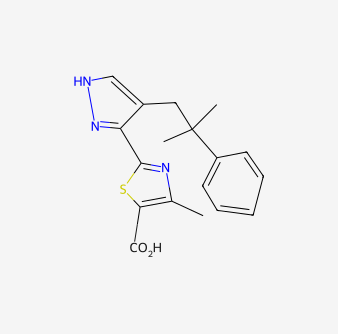 Cc1nc(-c2n[nH]cc2CC(C)(C)c2ccccc2)sc1C(=O)O